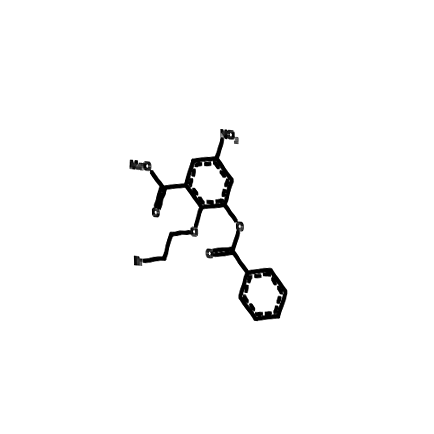 COC(=O)c1cc([N+](=O)[O-])cc(OC(=O)c2ccccc2)c1OCCBr